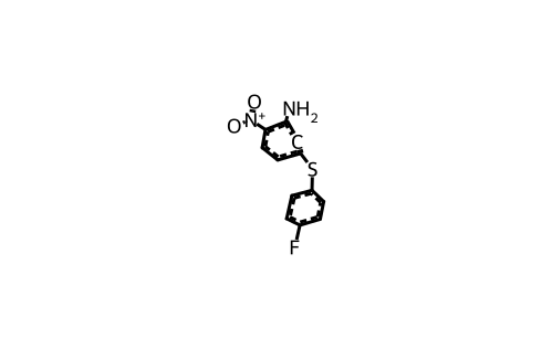 Nc1cc(Sc2ccc(F)cc2)ccc1[N+](=O)[O-]